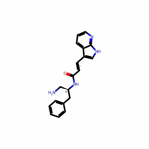 NC[C@H](Cc1ccccc1)NC(=O)/C=C/c1c[nH]c2ncccc12